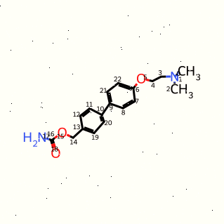 CN(C)CCOc1ccc(-c2ccc(COC(N)=O)cc2)cc1